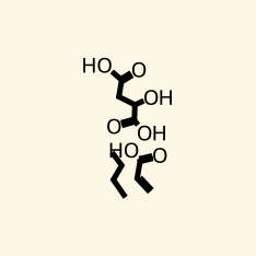 C=CC(=O)O.CCCC.O=C(O)CC(O)C(=O)O